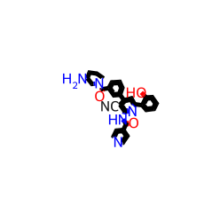 N#Cc1c(-c2cccc(C(=O)N3CCCC(N)C3)c2)cc(-c2ccccc2O)nc1NC(=O)c1ccncc1